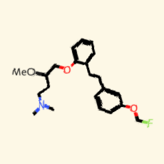 COC(CCN(C)C)COc1ccccc1CCc1cccc(OCF)c1